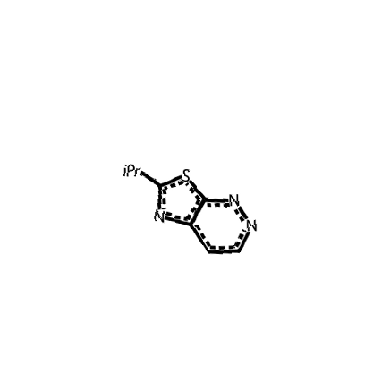 CC(C)c1nc2ccnnc2s1